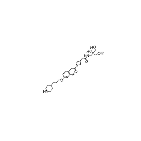 O=C(CC1CN(C(=O)Cc2ccc(OCCCC3CCNCC3)cc2F)C1)NCC(O)(CO)CO